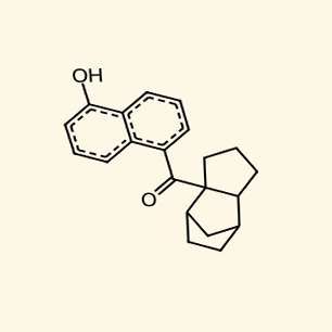 O=C(c1cccc2c(O)cccc12)C12CCCC1C1CCC2C1